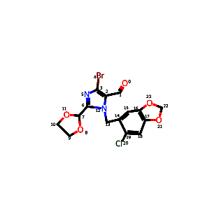 O=Cc1c(Br)nc(C2OCCO2)n1Cc1cc2c(cc1Cl)OCO2